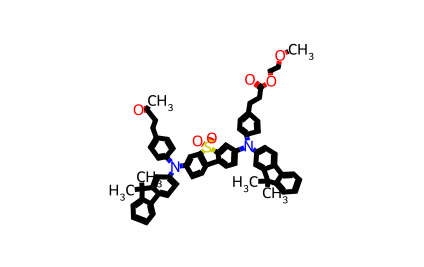 COCCOC(=O)CCc1ccc(N(c2ccc3c(c2)C(C)(C)c2ccccc2-3)c2ccc3c(c2)S(=O)(=O)c2cc(N(c4ccc(CCC(C)=O)cc4)c4ccc5c(c4)C(C)(C)c4ccccc4-5)ccc2-3)cc1